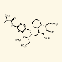 CSC(C)C(=S)Nc1ccc(C[C@H](CN(CC(=O)O)C2CCCC[C@@H]2N(CC(=O)O)CC(=O)O)N(CC(=O)O)CC(=O)O)cc1